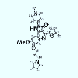 COc1cc2c(cc1OCCCN1CCCC1)nc(-c1ccc(C)o1)c1c(=O)n(C3CCN(C)CC3)[nH]c12